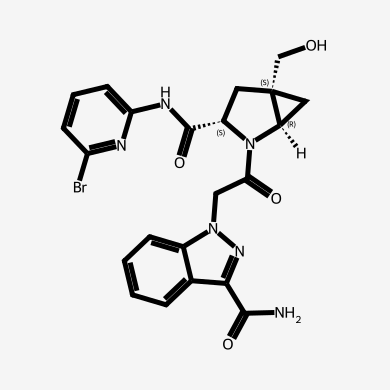 NC(=O)c1nn(CC(=O)N2[C@H](C(=O)Nc3cccc(Br)n3)C[C@@]3(CO)C[C@@H]23)c2ccccc12